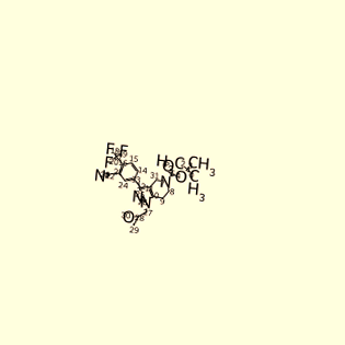 CC(C)(C)OC(=O)N1CCc2c(c(-c3ccc(C(F)(F)F)c(C#N)c3)nn2CC2CO2)C1